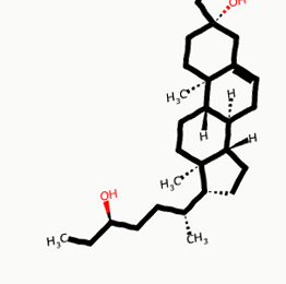 CC[C@@H](O)CC[C@@H](C)[C@H]1CC[C@H]2[C@@H]3CC=C4C[C@](O)(CC)CC[C@]4(C)[C@H]3CC[C@]12C